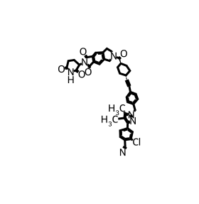 Cc1c(-c2ccc(C#N)c(Cl)c2)nn(Cc2ccc(C#C[C@H]3CC[C@H](C(=O)N4CCc5cc6c(cc5C4)C(=O)N(C4CCC(=O)NC4=O)C6=O)CC3)cc2)c1C